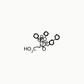 O=C(O)CCNC(=O)C(Cc1ccc(-c2ccccc2)cc1)NCP(=O)(Oc1ccccc1)Oc1ccccc1